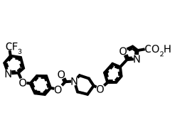 O=C(O)c1coc(-c2ccc(OC3CCN(C(=O)Oc4ccc(Oc5ccc(C(F)(F)F)cn5)cc4)CC3)cc2)n1